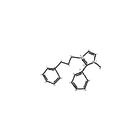 Cn1cc[n+](CCCc2ccccc2)c1-c1ccccc1